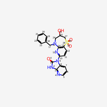 O=c1[nH]c2ncccc2n1-c1ccc2c(n1)N(Cc1ccccc1)CC(O)CS2(=O)=O